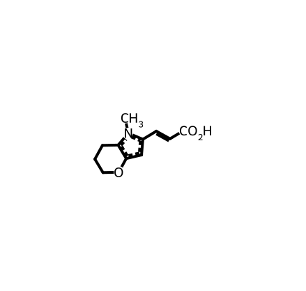 Cn1c(/C=C/C(=O)O)cc2c1CCCO2